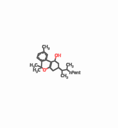 CCCCCC(C)C(C)C1CC2=C(c3cc(C)ccc3C(C)(C)O2)C(O)C1